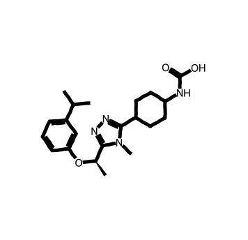 CC(C)c1cccc(O[C@H](C)c2nnc(C3CCC(NC(=O)O)CC3)n2C)c1